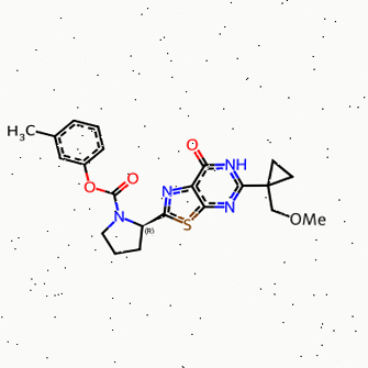 COCC1(c2nc3sc([C@H]4CCCN4C(=O)Oc4cccc(C)c4)nc3c(=O)[nH]2)CC1